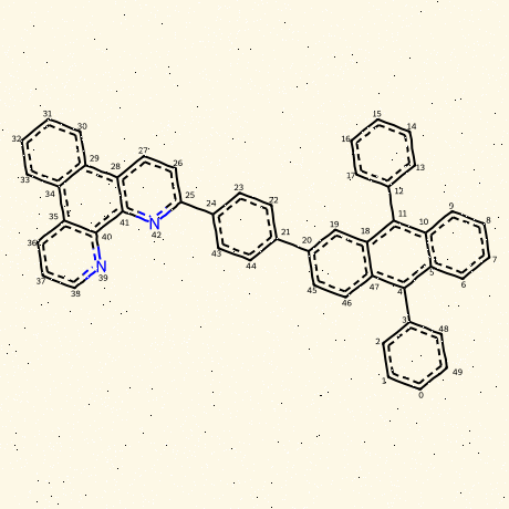 c1ccc(-c2c3ccccc3c(-c3ccccc3)c3cc(-c4ccc(-c5ccc6c7ccccc7c7cccnc7c6n5)cc4)ccc23)cc1